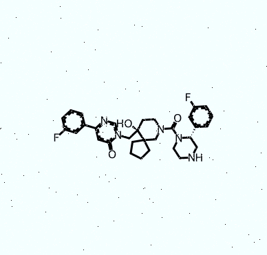 O=C(N1CC[C@@](O)(Cn2cnc(-c3cccc(F)c3)cc2=O)C2(CCCC2)C1)N1CCNC[C@H]1c1cccc(F)c1